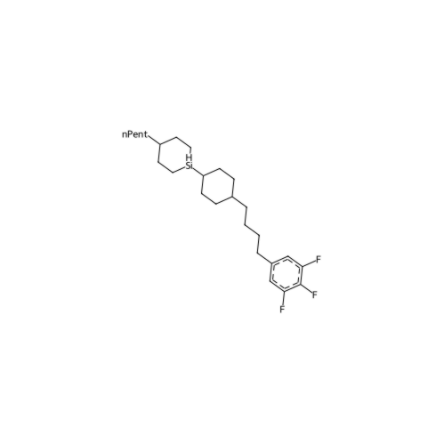 CCCCCC1CC[SiH](C2CCC(CCCCc3cc(F)c(F)c(F)c3)CC2)CC1